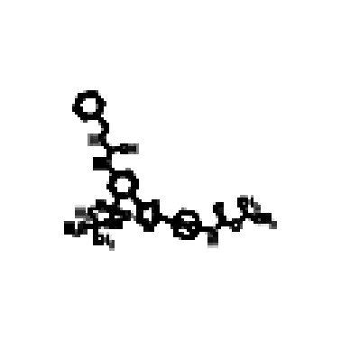 CC(C)OC(=O)NC12CCC(c3ncc(-c4ccc(NC(O)NCc5ccccc5)cc4S(=O)(=O)NC(C)(C)C)s3)(CC1)CC2